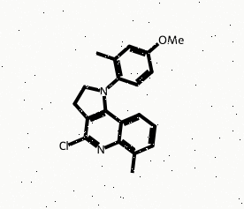 COc1ccc(N2CCc3c(Cl)nc4c(C)cccc4c32)c(C)c1